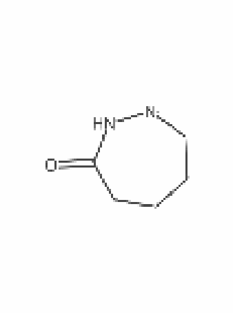 O=C1CCCC[N]N1